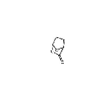 O=C1OC2CCC1O2